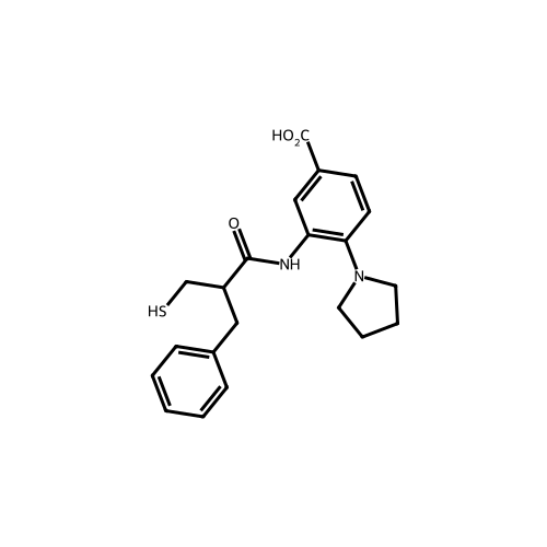 O=C(O)c1ccc(N2CCCC2)c(NC(=O)C(CS)Cc2ccccc2)c1